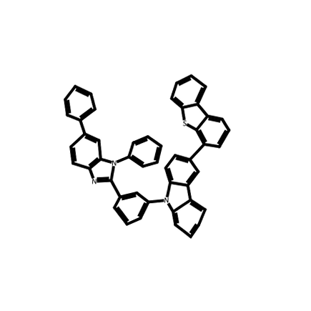 c1ccc(-c2ccc3nc(-c4cccc(-n5c6ccccc6c6cc(-c7cccc8c7sc7ccccc78)ccc65)c4)n(-c4ccccc4)c3c2)cc1